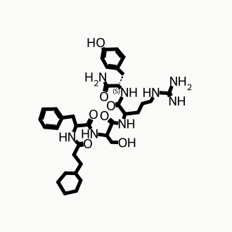 N=C(N)NCCCC(NC(=O)C(CO)NC(=O)C(Cc1ccccc1)NC(=O)CCC1CCCCC1)C(=O)N[C@@H](Cc1ccc(O)cc1)C(N)=O